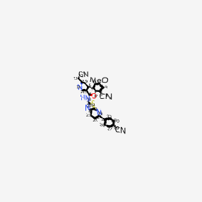 COc1ccc(C#N)cc1-c1cc(CC#N)ncc1C(=O)Nc1nc2ccc(-c3ccc(C#N)cc3)nc2s1